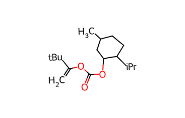 C=C(OC(=O)OC1CC(C)CCC1C(C)C)C(C)(C)C